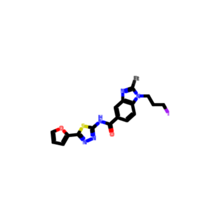 CCc1nc2cc(C(=O)Nc3nnc(-c4ccco4)s3)ccc2n1CCCI